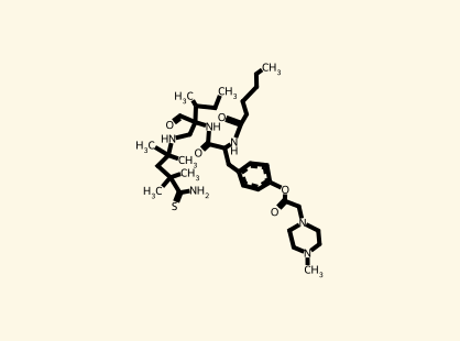 CCCCCC(=O)NC(Cc1ccc(OC(=O)CN2CCN(C)CC2)cc1)C(=O)NC(C=O)(CNC(C)(C)CC(C)(C)C(N)=S)C(C)CC